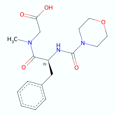 CN(CC(=O)O)C(=O)[C@H](Cc1ccccc1)NC(=O)N1CCOCC1